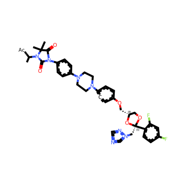 CC(=O)C(C)N1C(=O)N(c2ccc(N3CCN(c4ccc(OC[C@@H]5CO[C@@](Cn6cncn6)(c6ccc(F)cc6F)O5)cc4)CC3)cc2)C(=O)C1(C)C